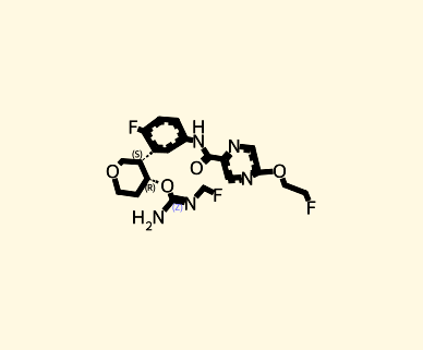 N/C(=N/CF)O[C@@H]1CCOC[C@@H]1c1cc(NC(=O)c2cnc(OCCF)cn2)ccc1F